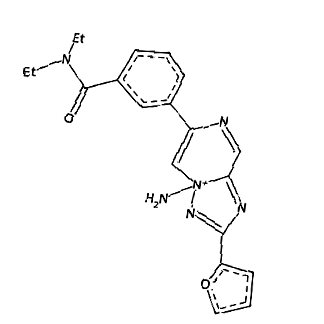 CCN(CC)C(=O)c1cccc(C2=C[N+]3(N)N=C(c4ccco4)N=C3C=N2)c1